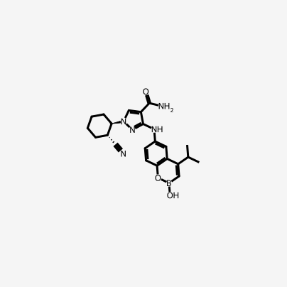 CC(C)C1=CB(O)Oc2ccc(Nc3nn([C@@H]4CCCC[C@H]4C#N)cc3C(N)=O)cc21